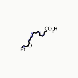 CC/C=C\CC1OC1/C=C/C=C/C=C\C/C=C\C/C=C\CCC(=O)O